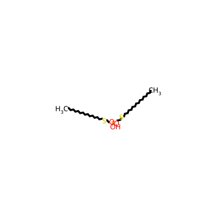 CCCCCCCCCCCCCCCCSCCOP(O)OCCSCCCCCCCCCCCCCCCC